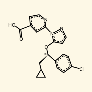 O=C(O)c1ccnc(-n2nccc2O[C@H](CC2CC2)c2ccc(Cl)cc2)c1